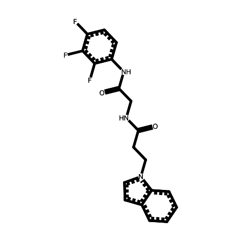 O=C(CCn1ccc2ccccc21)NCC(=O)Nc1ccc(F)c(F)c1F